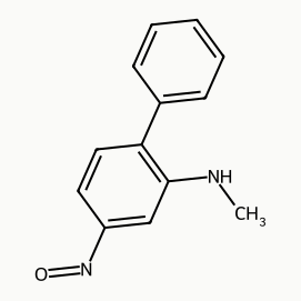 CNc1cc(N=O)ccc1-c1ccccc1